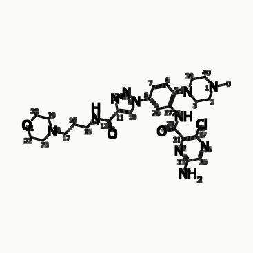 CN1CCN(c2ccc(-n3cc(C(=O)NCCCN4CCOCC4)nn3)cc2NC(=O)c2nc(N)cnc2Cl)CC1